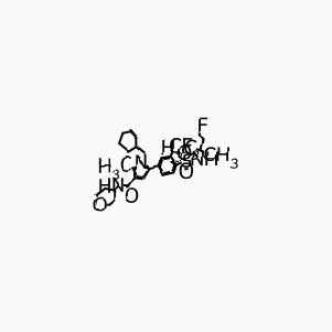 Cc1c(C(=O)NC2CCOCC2)cc(-c2ccc(S(=O)(=O)NC(C)(C)CCF)c(C(F)(F)F)c2)n1CC1CCCCC1